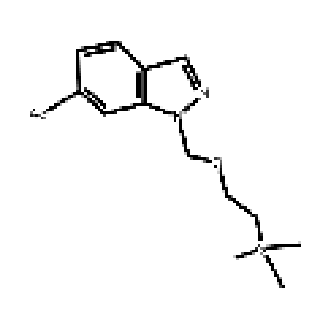 CC(=O)c1ccc2cnn(COCCS(C)(C)C)c2c1